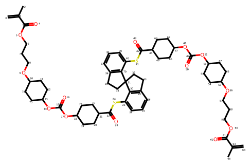 C=C(C)C(=O)OCCCOC1CCC(OC(=O)OC2CCC(C(=O)Sc3cccc4c3C3(CC4)CCc4cccc(SC(=O)C5CCC(OC(=O)OC6CCC(OCCCOC(=O)C(=C)C)CC6)CC5)c43)CC2)CC1